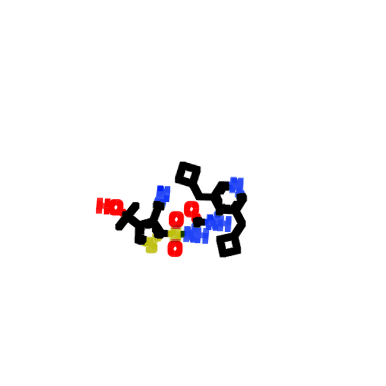 CC(C)(O)c1csc(S(=O)(=O)NC(=O)Nc2c(CC3CCC3)cncc2CC2CCC2)c1C#N